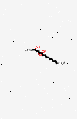 CCCCCC(O)C=CC(O)=C(O)CC=CCCCCCCC(=O)O